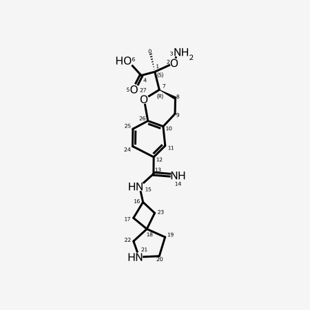 C[C@@](ON)(C(=O)O)[C@H]1CCc2cc(C(=N)NC3CC4(CCNC4)C3)ccc2O1